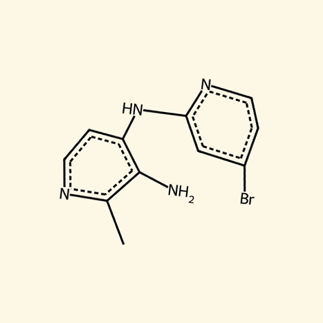 Cc1nccc(Nc2cc(Br)ccn2)c1N